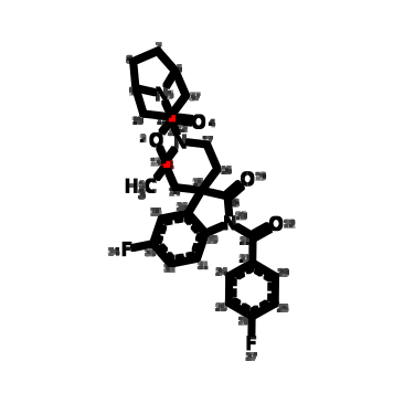 CCOC(=O)N1C2CCC1CC(N1CCC3(CC1)C(=O)N(C(=O)c1ccc(F)cc1)c1ccc(F)cc13)C2